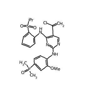 C=C(Cl)c1cnc(Nc2ccc(P(C)(C)=O)cc2OC)nc1Nc1ccccc1S(=O)(=O)C(C)C